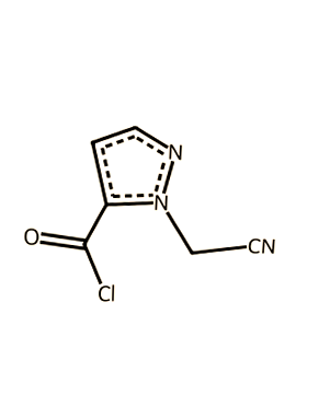 N#CCn1nccc1C(=O)Cl